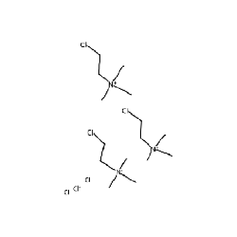 C[N+](C)(C)CCCl.C[N+](C)(C)CCCl.C[N+](C)(C)CCCl.[Cl-].[Cl-].[Cl-]